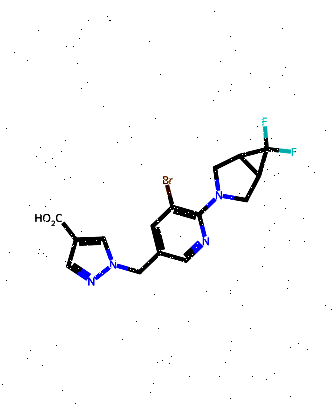 O=C(O)c1cnn(Cc2cnc(N3CC4C(C3)C4(F)F)c(Br)c2)c1